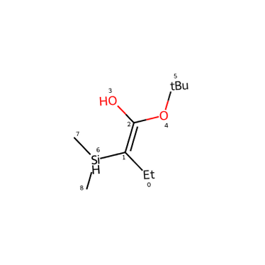 CCC(=C(O)OC(C)(C)C)[SiH](C)C